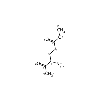 [CH2]C(=O)[C@@H](N)CCC(=O)OC